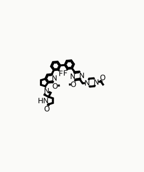 COc1nc(-c2cccc(-c3cccc(-c4cc5c(c(OC)n4)[C@@H](N4CC6(CCC(=O)N6)C4)CC5)c3F)c2F)cnc1CN1CCN(C(C)=O)CC1